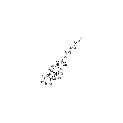 CCCCCCCCCC(=O)OC1CC(C)(C)N(OC2CCCCC2)C(C)(C)C1